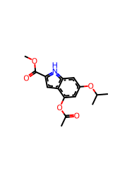 COC(=O)c1cc2c(OC(C)=O)cc(OC(C)C)cc2[nH]1